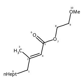 CCCCCCCC/C(C)=C/C(=O)OCCOC